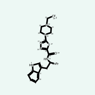 CCCC(Cc1c[nH]c2ccccc12)NC(=O)c1nnc(N2CCN(CC(F)(F)F)CC2)s1